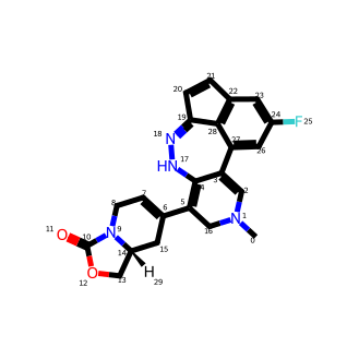 CN1C=C2C(=C(C3=CCN4C(=O)OC[C@H]4C3)C1)NN=C1C=Cc3cc(F)cc2c31